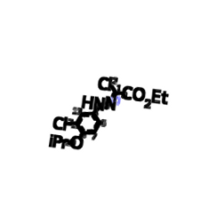 CCOC(=O)/C(Cl)=N/Nc1ccc(OC(C)C)c(Cl)c1